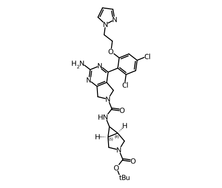 CC(C)(C)OC(=O)N1C[C@@H]2C(NC(=O)N3Cc4nc(N)nc(-c5c(Cl)cc(Cl)cc5OCCn5cccn5)c4C3)[C@@H]2C1